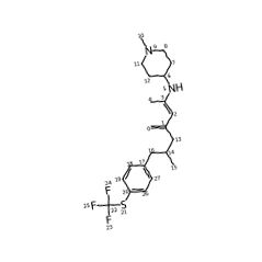 C=C(/C=C(\C)NC1CCN(C)CC1)CC(C)Cc1ccc(SC(F)(F)F)cc1